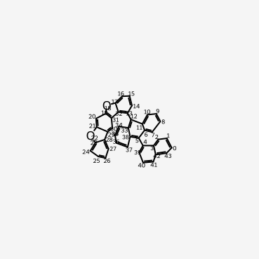 c1ccc2c(-c3c4ccccc4c(-c4cccc5oc6cc7oc8ccccc8c7cc6c45)c4ccccc34)cccc2c1